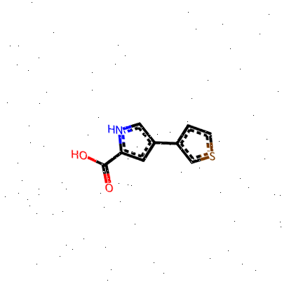 O=C(O)c1cc(-c2ccsc2)c[nH]1